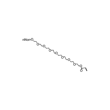 C=CC(=O)OCCOCCOCCOCCOCCOCCOCCOCCOCCCCCCCCC